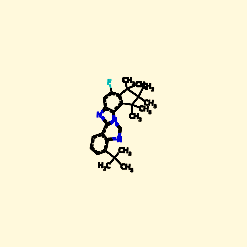 CC(C)(C)c1cccc2c1ncn1c2nc2cc(F)c3c(c21)C(C)(C)C(C)(C)C3(C)C